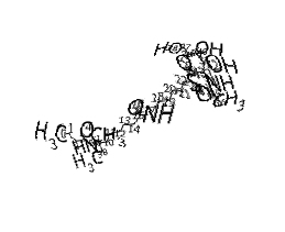 CCCC(=O)NC(C)(CC)CCCCCC(=O)NCCCCCS[C@@H]1OC(CO)[C@H](O)C(O)C1NC(C)=O